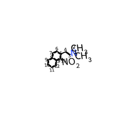 CN(C)C=Cc1ccc2ccccc2c1[N+](=O)[O-]